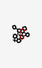 CC1(C)c2ccccc2-c2c(N(c3cc(-c4ccccc4)cc(-c4ccccc4)c3)c3ccccc3-c3ccccc3-c3ccccc3-c3ccccc3)cccc21